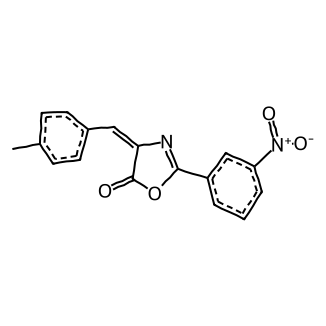 Cc1ccc(C=C2N=C(c3cccc([N+](=O)[O-])c3)OC2=O)cc1